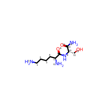 NCCCC[C@H](N)C(=O)N[C@@H](CO)C(N)=O